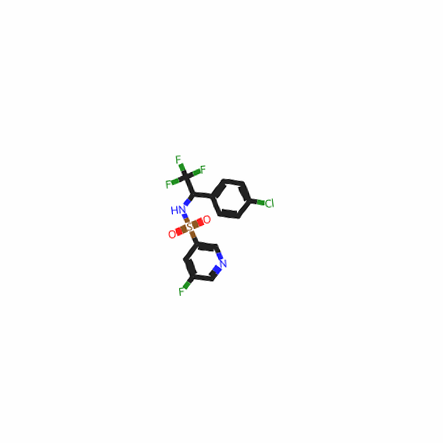 O=S(=O)(NC(c1ccc(Cl)cc1)C(F)(F)F)c1cncc(F)c1